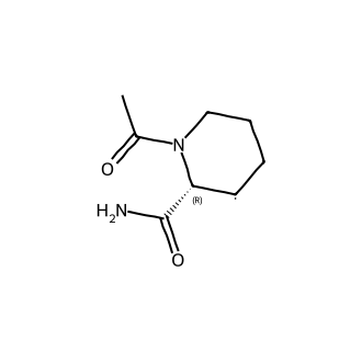 CC(=O)N1CCC[CH][C@@H]1C(N)=O